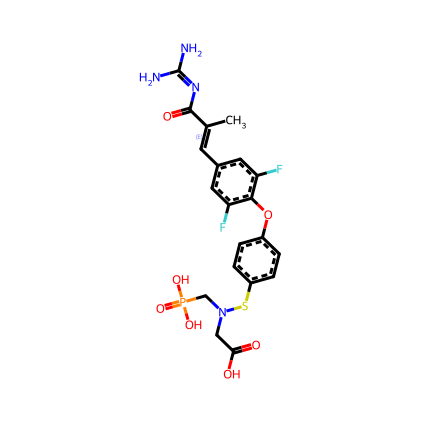 C/C(=C\c1cc(F)c(Oc2ccc(SN(CC(=O)O)CP(=O)(O)O)cc2)c(F)c1)C(=O)N=C(N)N